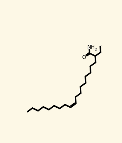 [CH2]CC(CCCCCCCC/C=C\CCCCCCCC)C(N)=O